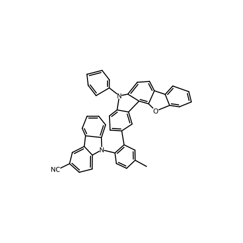 Cc1ccc(-n2c3ccccc3c3cc(C#N)ccc32)c(-c2ccc3c(c2)c2c4oc5ccccc5c4ccc2n3-c2ccccc2)c1